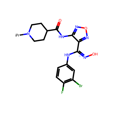 CC(C)N1CCC(C(=O)Nc2nonc2/C(=N\O)Nc2ccc(F)c(Br)c2)CC1